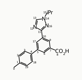 Cc1ccc(-c2cc(C(=O)O)cc(-c3ncn(C(C)C)n3)c2)cc1